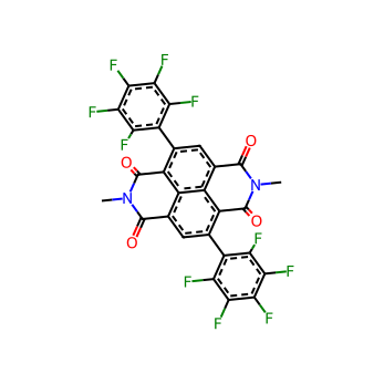 CN1C(=O)c2cc(-c3c(F)c(F)c(F)c(F)c3F)c3c4c(cc(-c5c(F)c(F)c(F)c(F)c5F)c(c24)C1=O)C(=O)N(C)C3=O